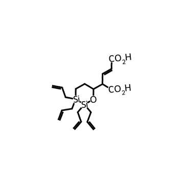 C=CC[Si]1(CC=C)CCC(C(C=CC(=O)O)C(=O)O)O[Si]1(CC=C)CC=C